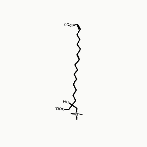 CCCCCCCC/C=C\CCCCCCCCCCCCCCC(O)(CC(=O)[O-])C[N+](C)(C)C